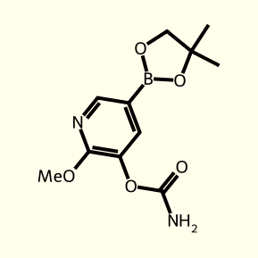 COc1ncc(B2OCC(C)(C)O2)cc1OC(N)=O